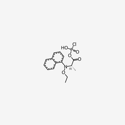 CCON(c1cccc2ccccc12)[C@@H](C)C(=O)OP(=O)(O)Cl